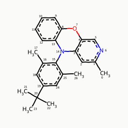 Cc1cc2c(cn1)Oc1ccccc1N2c1c(C)cc(C(C)(C)C)cc1C